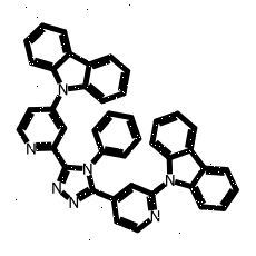 c1ccc(-n2c(-c3ccnc(-n4c5ccccc5c5ccccc54)c3)nnc2-c2cc(-n3c4ccccc4c4ccccc43)ccn2)cc1